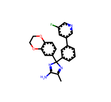 CC1=NC(c2cccc(-c3cncc(F)c3)c2)(c2ccc3c(c2)OCCO3)N=C1N